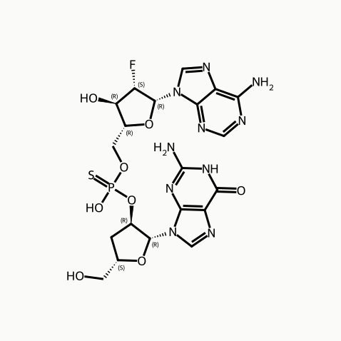 Nc1nc2c(ncn2[C@@H]2O[C@H](CO)C[C@H]2OP(O)(=S)OC[C@H]2O[C@@H](n3cnc4c(N)ncnc43)[C@@H](F)[C@@H]2O)c(=O)[nH]1